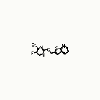 CCc1nc(OCc2cc3cccnc3s2)ncc1F